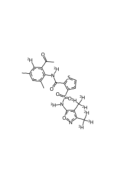 [2H]c1c(C)cc(C)c(N([2H])C(=O)c2sccc2S(=O)(=O)N([2H])c2onc(C([2H])([2H])[2H])c2C([2H])([2H])[2H])c1C(C)=O